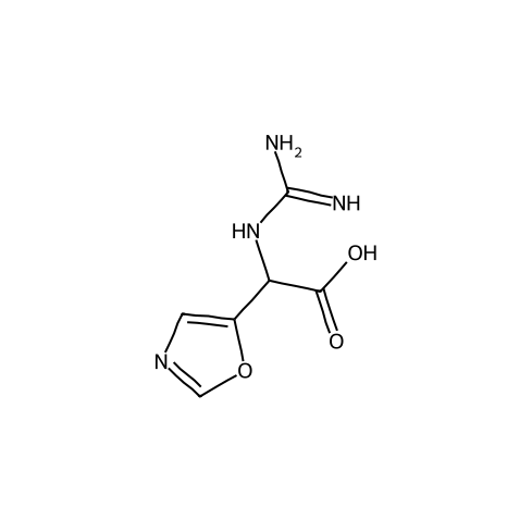 N=C(N)NC(C(=O)O)c1cnco1